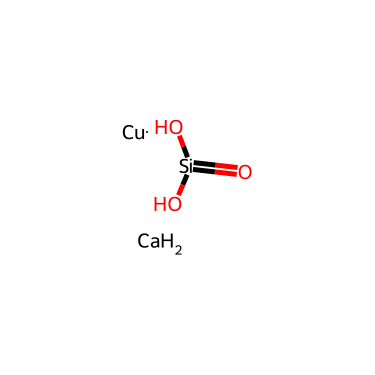 O=[Si](O)O.[CaH2].[Cu]